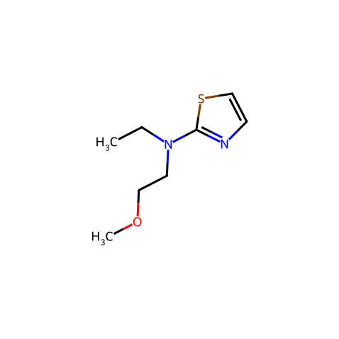 CCN(CCOC)c1nccs1